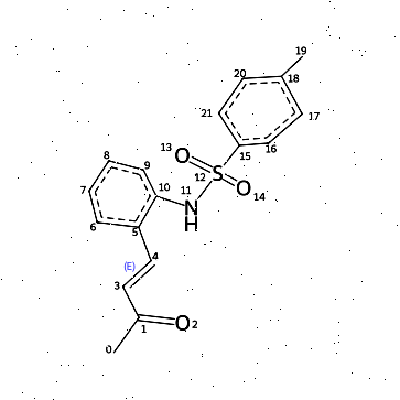 CC(=O)/C=C/c1ccccc1NS(=O)(=O)c1ccc(C)cc1